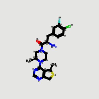 C[C@H]1SCc2ncnc(N3CCN(C(=O)[C@H](N)Cc4ccc(Cl)c(F)c4)C[C@@H]3C)c21